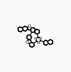 c1ccc(-c2nc(-c3ccc4ccccc4c3)nc(-c3cccc4oc5ccc(-c6cccc7oc8cc9ccccc9cc8c67)cc5c34)n2)cc1